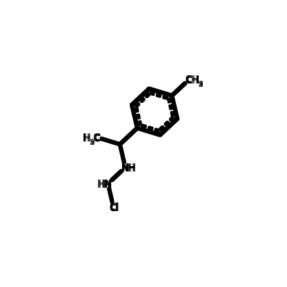 Cc1ccc(C(C)NNCl)cc1